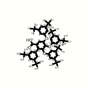 O=C(O)c1cc(Oc2cc(C(I)(I)I)cc(C(I)(I)I)c2)c(Oc2cc(C(I)(I)I)cc(C(I)(I)I)c2)c(Oc2cc(C(I)(I)I)cc(C(I)(I)I)c2)c1-c1cc(C(I)(I)I)cc(C(I)(I)I)c1